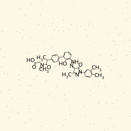 CC1=NN(c2ccc(C)c(C)c2)C(=O)C1=NNc1cccc(-c2ccc(C(C)C(=O)N(C)CC(=O)O)cc2)c1O